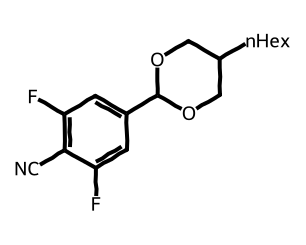 CCCCCCC1COC(c2cc(F)c(C#N)c(F)c2)OC1